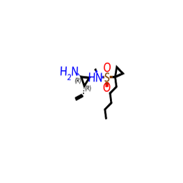 C=C[C@H]1C[C@H]1N.CCCCCC1(S(=O)(=O)NC)CC1